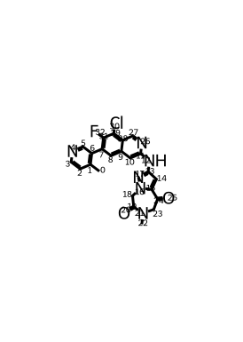 Cc1ccncc1-c1cc2cc(Nc3cc4n(n3)CC(=O)N(C)CC4=O)ncc2c(Cl)c1F